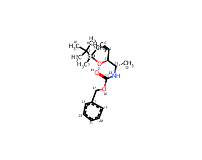 C=C[C@H](O[Si](C)(C)C(C)(C)C)[C@H](C)NC(=O)OCc1ccccc1